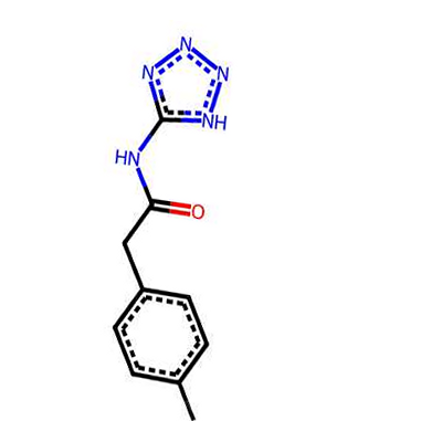 COc1ccc(CC(=O)Nc2nnn[nH]2)cc1